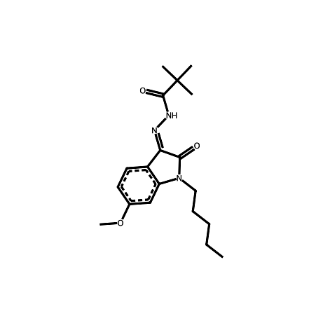 CCCCCN1C(=O)C(=NNC(=O)C(C)(C)C)c2ccc(OC)cc21